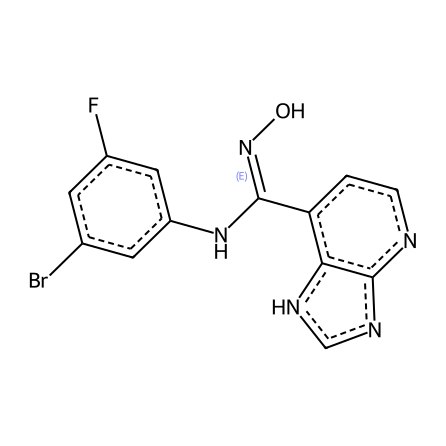 O/N=C(/Nc1cc(F)cc(Br)c1)c1ccnc2nc[nH]c12